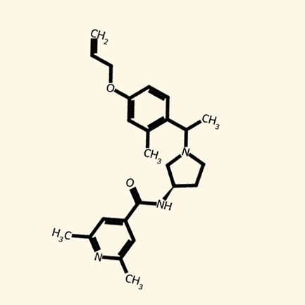 C=CCOc1ccc(C(C)N2CC[C@@H](NC(=O)c3cc(C)nc(C)c3)C2)c(C)c1